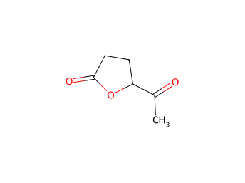 CC(=O)C1CCC(=O)O1